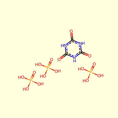 O=P(O)(O)O.O=P(O)(O)O.O=P(O)(O)O.O=c1[nH]c(=O)[nH]c(=O)[nH]1